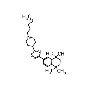 COCCCN1CCC(c2nc(-c3ccc4c(c3)C(C)(C)CCC4(C)C)cs2)CC1